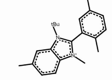 Cc1ccc(C)c(-c2n(C(C)(C)C)c3cc(C)ccc3[n+]2C)c1